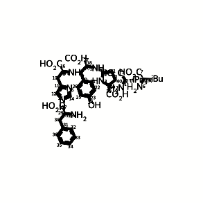 CC(C)[C@H](N)C(=O)O.CC[C@H](C)[C@H](N)C(=O)O.N[C@@H](Cc1c[nH]cn1)C(=O)O.N[C@@H](Cc1ccc(O)cc1)C(=O)O.N[C@@H](Cc1ccccc1)C(=O)O.O=C(O)[C@@H]1CCCN1